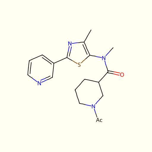 CC(=O)N1CCCC(C(=O)N(C)c2sc(-c3cccnc3)nc2C)C1